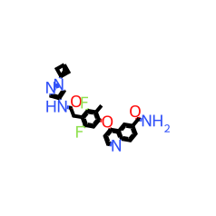 Cc1c(Oc2ccnc3ccc(C(N)=O)cc23)cc(F)c(CC(=O)Nc2cnn(C34CC(C3)C4)c2)c1F